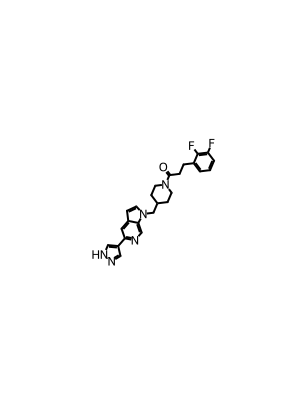 O=C(CCc1cccc(F)c1F)N1CCC(Cn2ccc3cc(-c4cn[nH]c4)ncc32)CC1